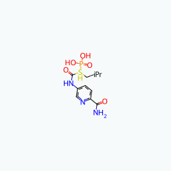 CC(C)C[SH](C(=O)Nc1ccc(C(N)=O)nc1)P(=O)(O)O